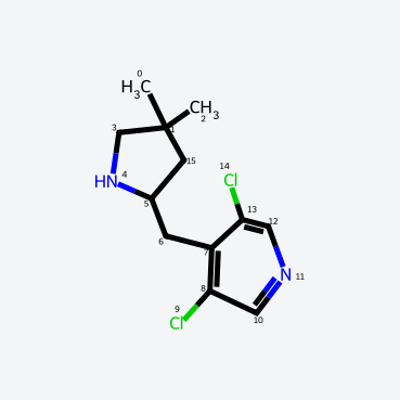 CC1(C)CNC(Cc2c(Cl)cncc2Cl)C1